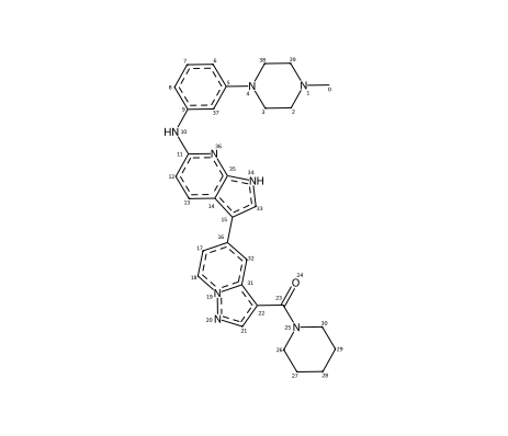 CN1CCN(c2cccc(Nc3ccc4c(-c5ccn6ncc(C(=O)N7CCCCC7)c6c5)c[nH]c4n3)c2)CC1